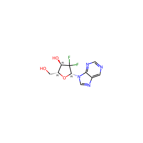 OC[C@H]1O[C@@H](n2cnc3cncnc32)C(F)(F)[C@@H]1O